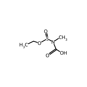 CCOS(=O)N(C)C(=O)O